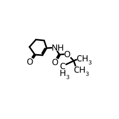 CC(C)(C)OC(=O)NC1=CC(=O)CCC1